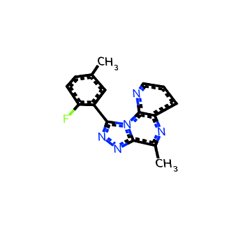 Cc1ccc(F)c(-c2nnc3c(C)nc4cccnc4n23)c1